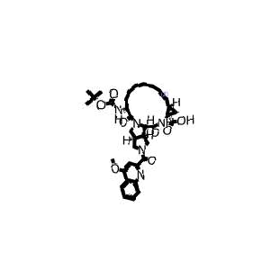 COc1cc(C(=O)N2C[C@H]3CN4C(=O)[C@H](NC(=O)OC(C)(C)C)CCCCC/C=C\[C@@H]5C[C@@]5(C(=O)O)NC(=O)[C@@H]4[C@H]3C2)nc2ccccc12